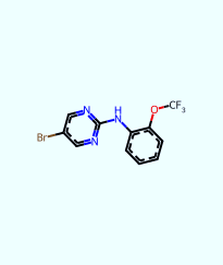 FC(F)(F)Oc1ccccc1Nc1ncc(Br)cn1